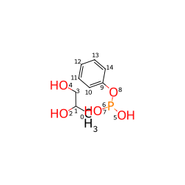 CC(O)CO.OP(O)Oc1ccccc1